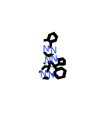 CCC1(CC)C2N(C)C=CN2c2ccccc2[C@@]12c1ccccc1N1c3nc(-c4ccccc4C)ncc3N(C)C12